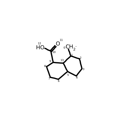 [CH2]C1CCCC2CCCC(C(=O)O)C12